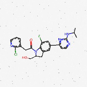 CC(C)Nc1nccc(-c2cc(F)c3c(c2)CC(CO)N3C(=O)Cc2cccnc2Cl)n1